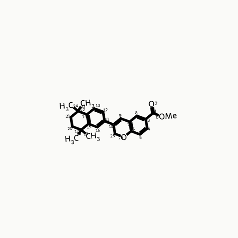 COC(=O)c1ccc2c(c1)C=C(c1ccc3c(c1)C(C)(C)CCC3(C)C)CO2